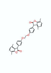 Cc1ccc(C)c2c1OC(=O)C2c1ccc(OCCOc2ccc(C3C(=O)Oc4c(C)ccc(C)c43)cc2)cc1